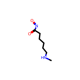 CNCCCCCC(=O)N=O